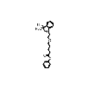 CC1(C)CN(CCOCCCCC(=O)Oc2ccccc2)c2ccccc21